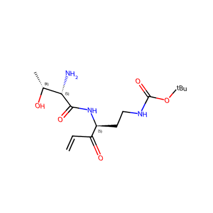 C=CC(=O)[C@H](CCNC(=O)OC(C)(C)C)NC(=O)[C@@H](N)[C@@H](C)O